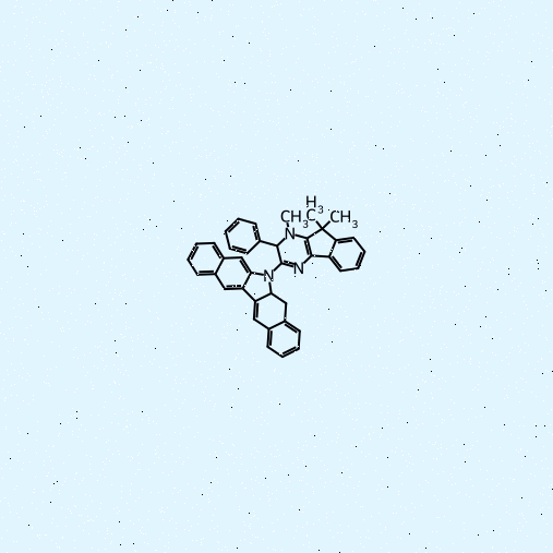 CN1C2=C(N=C(N3c4cc5ccccc5cc4C4=Cc5ccccc5CC43)C1c1ccccc1)c1ccccc1C2(C)C